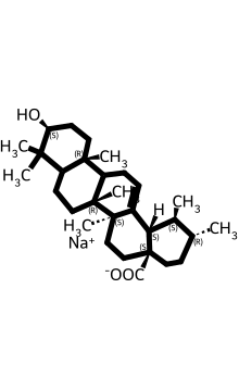 C[C@H]1[C@H](C)CC[C@]2(C(=O)[O-])CC[C@]3(C)C(=CCC4[C@@]5(C)CC[C@H](O)C(C)(C)C5CC[C@]43C)[C@H]12.[Na+]